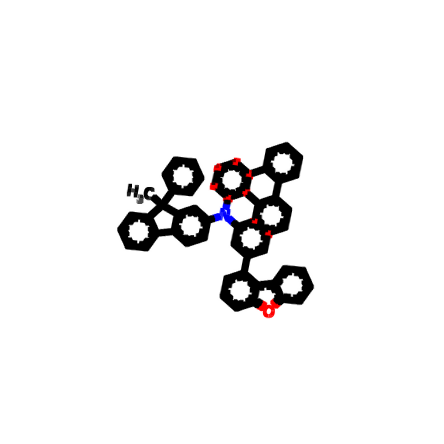 CC1(c2ccccc2)c2ccccc2-c2ccc(N(c3cccc(-c4cccc5oc6ccccc6c45)c3)c3ccccc3-c3ccccc3-c3ccccc3-c3ccccc3)cc21